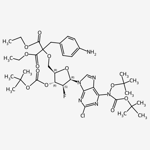 CCOC(=O)C(Cc1ccc(N)cc1)(OC[C@H]1O[C@@H](n2cnc3c(N(OC(C)(C)C)C(=O)OC(C)(C)C)nc(Cl)nc32)[C@@H](F)[C@@H]1OC(=O)OC(C)(C)C)C(=O)OCC